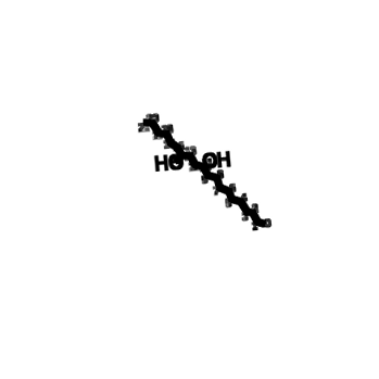 CCCCCCCCCCC(O)CCC(O)CCCCCC